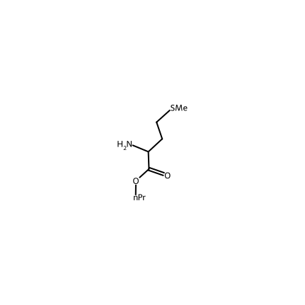 CCCOC(=O)C(N)CCSC